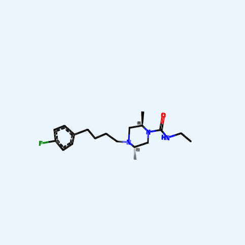 CCNC(=O)N1C[C@H](C)N(CCCCc2ccc(F)cc2)C[C@H]1C